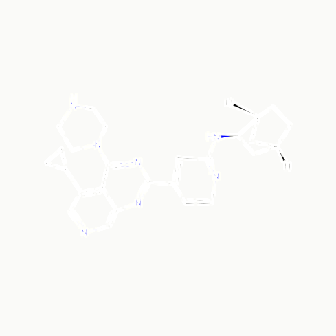 c1cc(-c2nc(N3CCNCC3)c3c(C4CC4)cncc3n2)cc(N[C@@H]2C[C@H]3CC[C@@H]2C3)n1